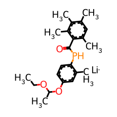 CCOC(C)Oc1ccc(PC(=O)c2c(C)cc(C)c(C)c2C)c(C)c1.[Li]